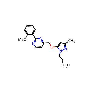 COc1ccccc1-c1nccc(COc2cc(C)nn2CCC(=O)O)n1